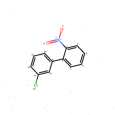 O=[N+]([O-])c1ccccc1-c1cccc(Cl)c1